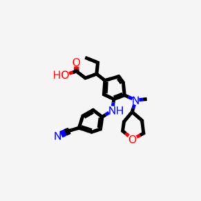 CCC(CC(=O)O)c1ccc(N(C)C2CCOCC2)c(Nc2ccc(C#N)cc2)c1